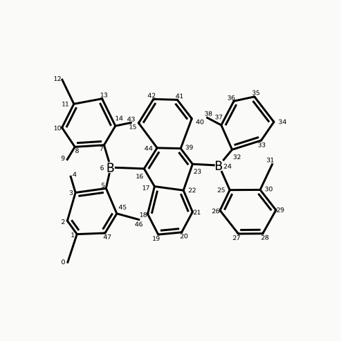 Cc1cc(C)c(B(c2c(C)cc(C)cc2C)c2c3ccccc3c(B(c3ccccc3C)c3ccccc3C)c3ccccc23)c(C)c1